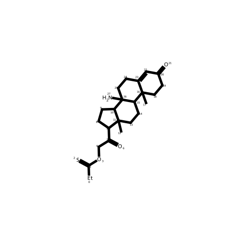 CCC(=S)OCC(=O)C1CCC2C1(C)CCC1C3(C)CCC(=O)C=C3CCC12N